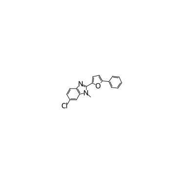 Cn1c(-c2ccc(-c3ccccc3)o2)nc2ccc(Cl)cc21